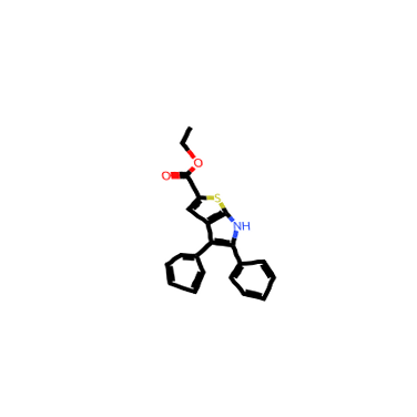 CCOC(=O)c1cc2c(-c3ccccc3)c(-c3ccccc3)[nH]c2s1